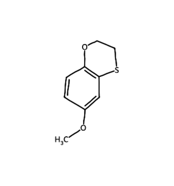 COc1ccc2c(c1)SCCO2